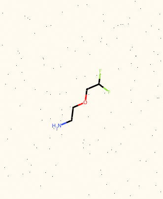 NCCOCC(F)F